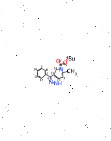 CC1Cc2[nH]nc(-c3ccccc3)c2CN1C(=O)OC(C)(C)C